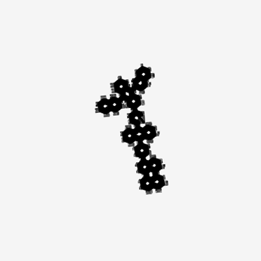 c1ccc2cc(-c3c4ccccc4c(-c4ccc5ccccc5c4)c4cc(-c5ccc(-c6c7ccccc7c(-c7ccc(-c8ccc9c%10cccc%11cccc(c%12cccc8c%129)c%11%10)cc7)c7ccccc67)nc5)ccc34)ccc2c1